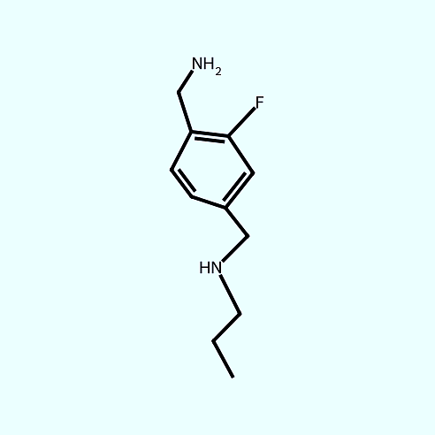 CCCNCc1ccc(CN)c(F)c1